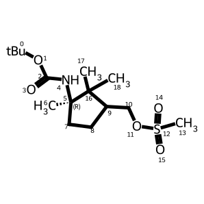 CC(C)(C)OC(=O)N[C@]1(C)CCC(COS(C)(=O)=O)C1(C)C